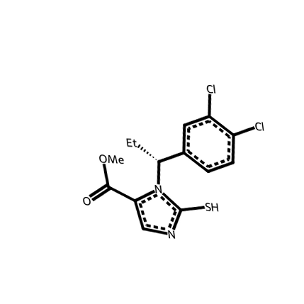 CC[C@H](c1ccc(Cl)c(Cl)c1)n1c(C(=O)OC)cnc1S